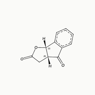 O=C1C[C@H]2C(=O)c3ccccc3[C@H]2O1